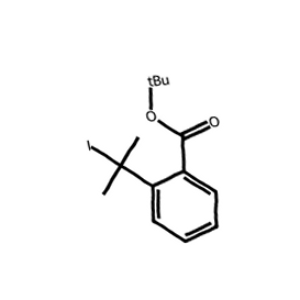 CC(C)(C)OC(=O)c1ccccc1C(C)(C)I